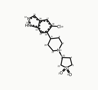 O=S1(=O)CC[C@H](N2CCC(c3cc4[nH]ncc4cc3Cl)CC2)C1